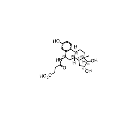 C[C@]12CC[C@@H]3c4ccc(O)cc4[C@H](NC(=O)CCC(=O)O)C[C@H]3[C@@H]1C[C@@H](O)[C@@H]2O